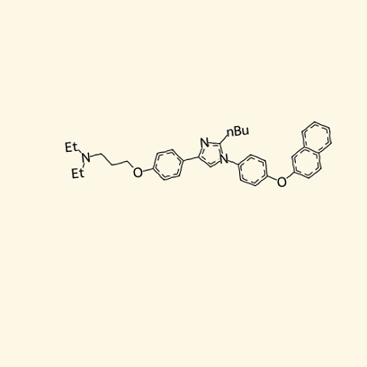 CCCCc1nc(-c2ccc(OCCCN(CC)CC)cc2)cn1-c1ccc(Oc2ccc3ccccc3c2)cc1